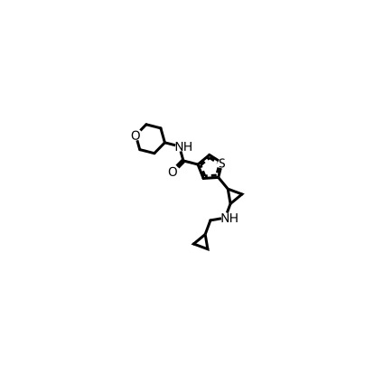 O=C(NC1CCOCC1)c1csc(C2CC2NCC2CC2)c1